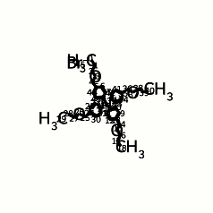 CCCOCc1ccc([N+](c2ccc(COCCC)cc2)(c2ccc(COCCC)cc2)c2ccc(COCCC)cc2)cc1.[Br-]